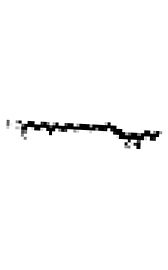 CCCCC[C@@H](O)C#CCCCCCCCCCCCCCC(=O)O